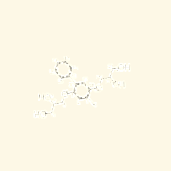 Cc1cc(OCC(O)CO)c(-c2ccccc2)cc1OCC(O)CO